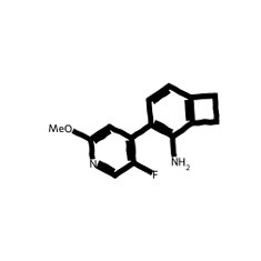 COc1cc(-c2ccc3c(c2N)CC3)c(F)cn1